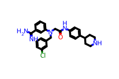 N=C(N)c1cccc(N(CC(=O)Nc2ccc(C3CCNCC3)cc2)Cc2cccc(Cl)c2)c1